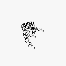 COc1ccc(CN(Cc2ccc(OC)cc2)S(=O)(=O)[C@@H](C)C(O[Si](C)(C)C(C)(C)C)c2ncc(C)cn2)cc1